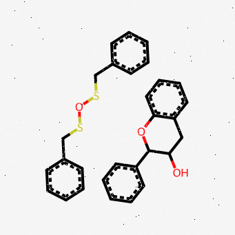 OC1Cc2ccccc2OC1c1ccccc1.c1ccc(CSOSCc2ccccc2)cc1